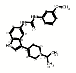 COc1cccc(NC(=S)Nc2ccc3[nH]cc(C4=CCN(C(C)C)CC4)c3c2)c1